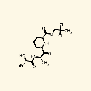 CC(C)[C@H](O)C(=O)N[C@@H](C)C(=O)N1CCC[C@@H](C(=O)OCC(C)(Cl)Cl)N1